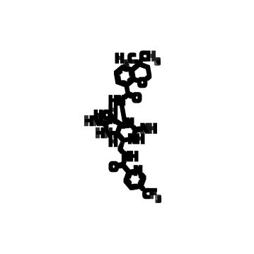 CC1(C)CCOc2c(C(=O)NC3CN4C(=N)N[C@@H](CNC(=O)c5ccc(C(F)(F)F)cn5)[C@@H]5NC(=N)NC54[C@@H]3O)cccc21